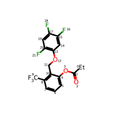 CCC(=O)Oc1cccc(C(F)(F)F)c1COc1cc(F)c(F)cc1F